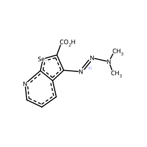 CN(C)/N=N/c1c(C(=O)O)[se]c2ncccc12